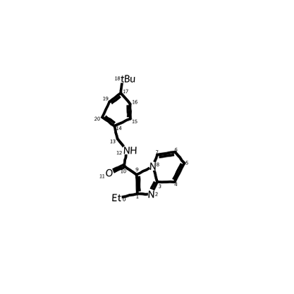 CCc1nc2ccccn2c1C(=O)NCc1ccc(C(C)(C)C)cc1